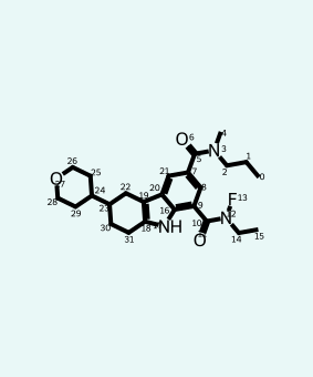 CCCN(C)C(=O)c1cc(C(=O)N(F)CC)c2[nH]c3c(c2c1)CC(C1CCOCC1)CC3